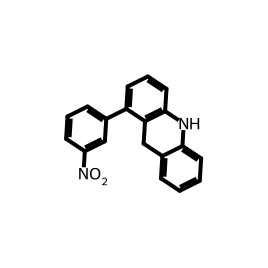 O=[N+]([O-])c1cccc(-c2cccc3c2Cc2ccccc2N3)c1